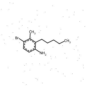 CCCCCc1c(N)ccc(Br)c1C